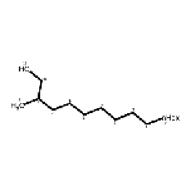 CCCCCCCCCCCCCC(C)CO